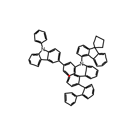 c1ccc(-c2ccccc2-c2ccccc2-c2ccccc2N(c2cccc(-c3ccc4c(c3)c3ccccc3n4-c3ccccc3)c2)c2cccc3c2-c2ccccc2C32CCCC2)cc1